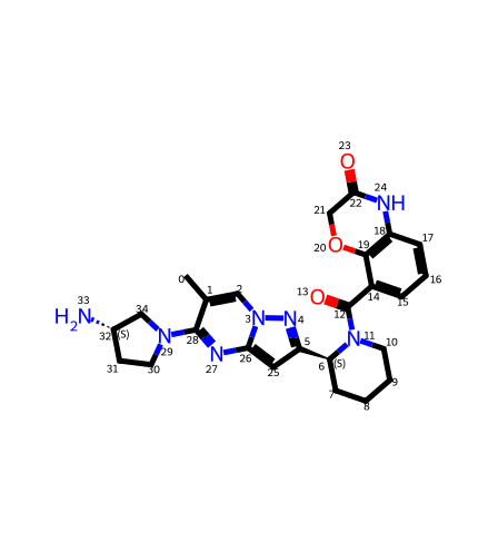 Cc1cn2nc([C@@H]3CCCCN3C(=O)c3cccc4c3OCC(=O)N4)cc2nc1N1CC[C@H](N)C1